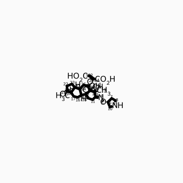 CC1(C)/C(=N/O[C@@H]2CCNC2)CC[C@]2(C)[C@H]3CC[C@]4(C)C(=O)CC[C@H]4[C@@H]3CC(=O)[C@@]12O.O=C(O)/C=C/C(=O)O